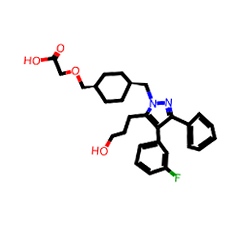 O=C(O)COC[C@H]1CC[C@@H](Cn2nc(-c3ccccc3)c(-c3cccc(F)c3)c2CCCO)CC1